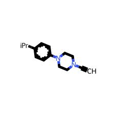 C#CN1CCN(c2ccc(C(C)C)cc2)CC1